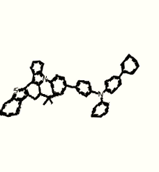 CC1(C)c2cc(-c3ccc(N(c4ccccc4)c4ccc(-c5ccccc5)cc4)cc3)ccc2-n2c3c(c4ccccc42)-c2sc4ccccc4c2CC31